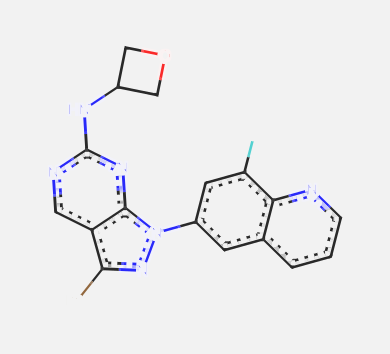 Fc1cc(-n2nc(Br)c3cnc(NC4COC4)nc32)cc2cccnc12